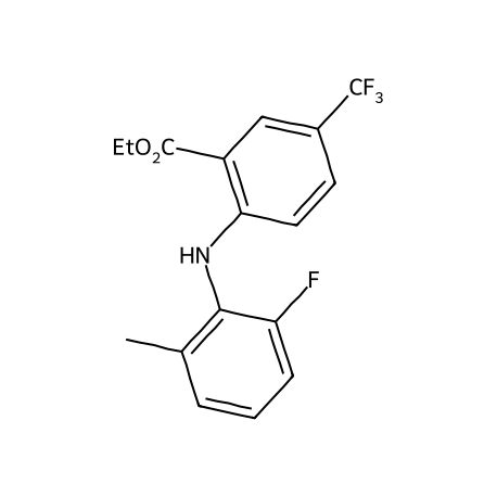 CCOC(=O)c1cc(C(F)(F)F)ccc1Nc1c(C)cccc1F